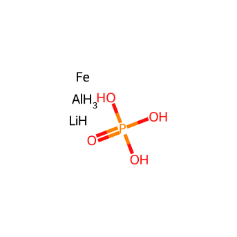 O=P(O)(O)O.[AlH3].[Fe].[LiH]